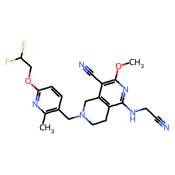 COc1nc(NCC#N)c2c(c1C#N)CN(Cc1ccc(OCC(F)F)nc1C)CC2